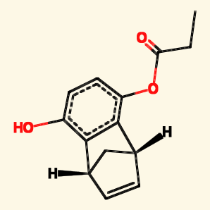 CCC(=O)Oc1ccc(O)c2c1[C@@H]1C=C[C@H]2C1